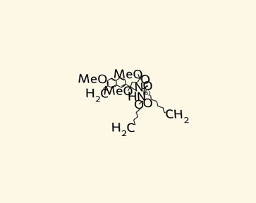 C=CCCCCC[C@H](NC(=O)OCCCCC=C)C(=O)N1CC(OC)(c2ccc3cc(OC)c(C=C)cc3c2)CC1C(=O)OC